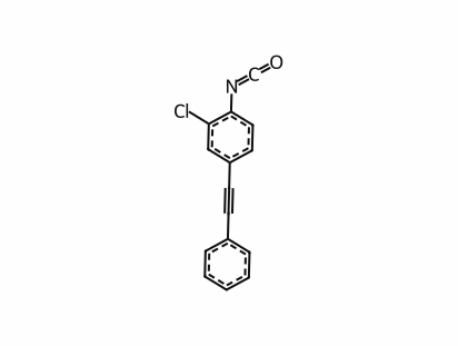 O=C=Nc1ccc(C#Cc2ccccc2)cc1Cl